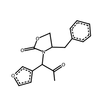 CC(=O)C(c1ccoc1)N1C(=O)OCC1Cc1ccccc1